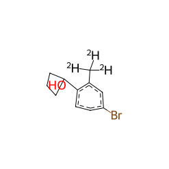 [2H]C([2H])([2H])c1cc(Br)ccc1C1(O)CCC1